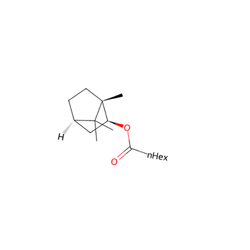 CCCCCCC(=O)O[C@H]1C[C@H]2CC[C@@]1(C)C2(C)C